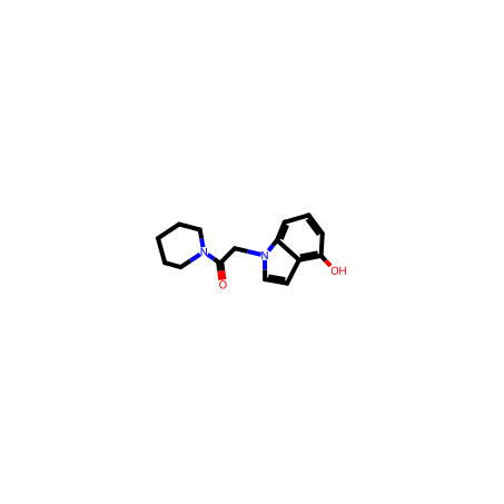 O=C(Cn1ccc2c(O)cccc21)N1CCCCC1